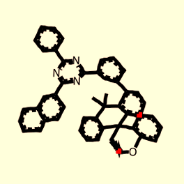 CC1(C)c2ccccc2C2(c3ccccc3Oc3ccccc32)c2cccc(-c3cccc(-c4nc(-c5ccccc5)nc(-c5ccc6ccccc6c5)n4)c3)c21